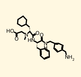 CN(CC(=O)O)[C@H](CC1CCCCC1)C(=O)N[C@@H](Cc1ccccc1)C(=O)NCc1ccc(CN)cc1